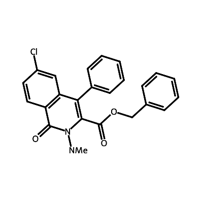 CNn1c(C(=O)OCc2ccccc2)c(-c2ccccc2)c2cc(Cl)ccc2c1=O